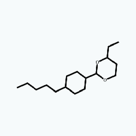 CCCCCC1CCC(C2OCCC(CC)O2)CC1